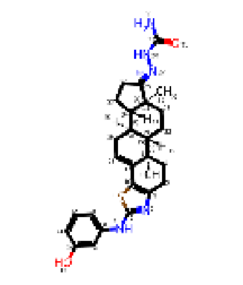 C[C@]12CCc3nc(Nc4cccc(O)c4)sc3C1=CC[C@@H]1[C@@H]2CC[C@]2(C)/C(=N/NC(N)=O)CC[C@@H]12